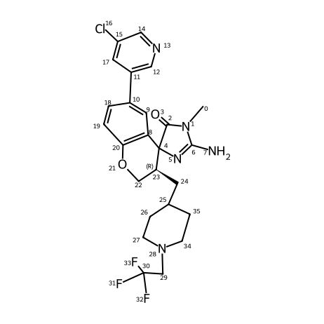 CN1C(=O)C2(N=C1N)c1cc(-c3cncc(Cl)c3)ccc1OC[C@@H]2CC1CCN(CC(F)(F)F)CC1